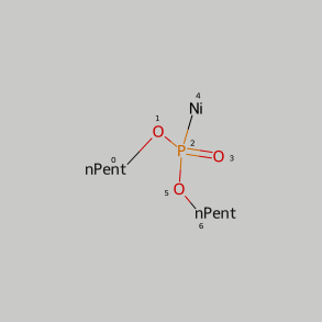 CCCCCO[P](=O)([Ni])OCCCCC